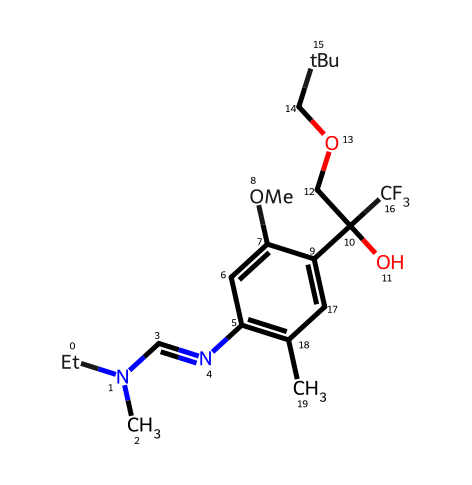 CCN(C)/C=N/c1cc(OC)c(C(O)(COCC(C)(C)C)C(F)(F)F)cc1C